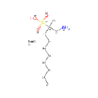 CCCCCCCCC(C)(CN)S(=O)(=O)O.[NaH]